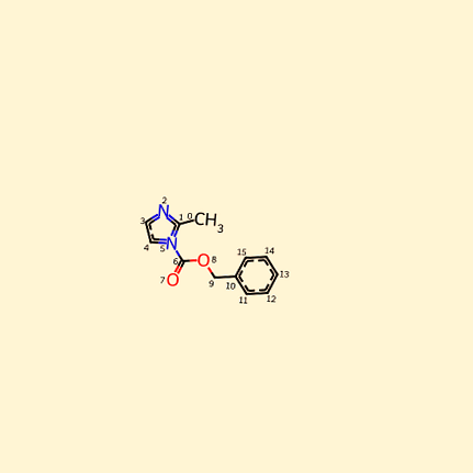 Cc1nccn1C(=O)OCc1ccccc1